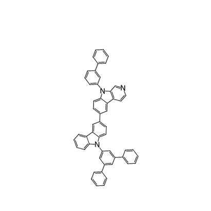 c1ccc(-c2cccc(-n3c4ccc(-c5ccc6c(c5)c5ccccc5n6-c5cc(-c6ccccc6)cc(-c6ccccc6)c5)cc4c4ccncc43)c2)cc1